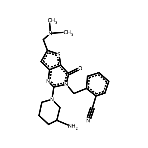 CN(C)Cc1cc2nc(N3CCCC(N)C3)n(Cc3ccccc3C#N)c(=O)c2s1